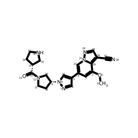 COc1cc(-c2cnn([C@@H]3CCN(C(=O)[C@@H]4CCNC4)C3)c2)cn2ncc(C#N)c12